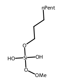 CCCCCCCCO[Si](O)(O)OOC